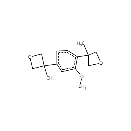 COc1cc(C2(C)COC2)ccc1C1(C)COC1